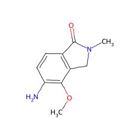 COc1c(N)ccc2c1CN(C)C2=O